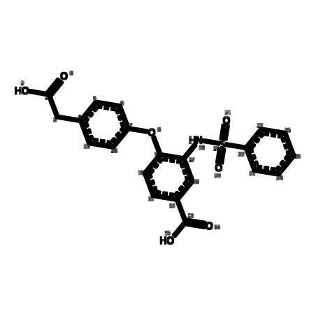 O=C(O)Cc1ccc(Oc2ccc(C(=O)O)cc2NS(=O)(=O)c2ccccc2)cc1